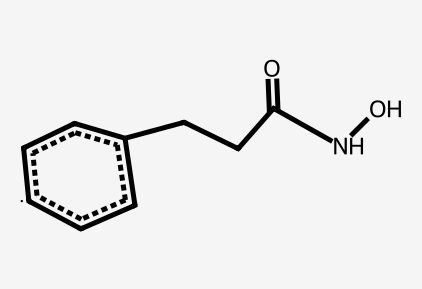 O=C(CCc1cc[c]cc1)NO